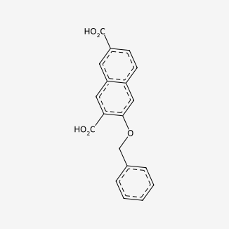 O=C(O)c1ccc2cc(OCc3ccccc3)c(C(=O)O)cc2c1